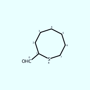 O=CC1CCCCCCS1